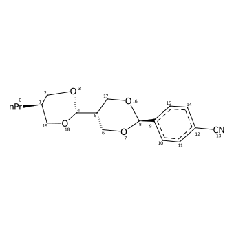 CCC[C@H]1CO[C@H]([C@H]2CO[C@H](c3ccc(C#N)cc3)OC2)OC1